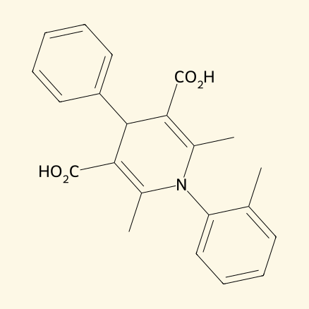 CC1=C(C(=O)O)C(c2ccccc2)C(C(=O)O)=C(C)N1c1ccccc1C